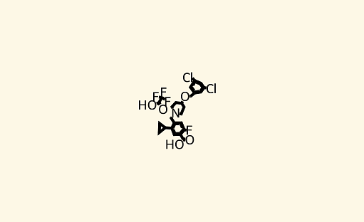 O=C(O)C(F)(F)F.O=C(O)c1cc(C2CC2)c(CN2CCC(OCc3cc(Cl)cc(Cl)c3)CC2)cc1F